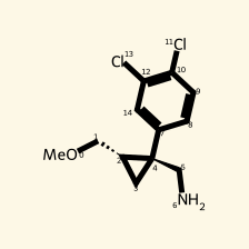 COC[C@H]1C[C@@]1(CN)c1ccc(Cl)c(Cl)c1